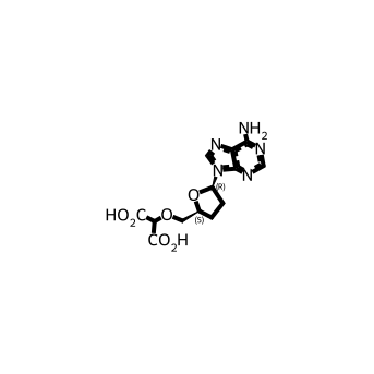 Nc1ncnc2c1ncn2[C@H]1CC[C@@H](COC(C(=O)O)C(=O)O)O1